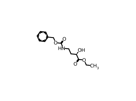 CCOC(=O)[C@H](O)CCNC(=O)OCc1ccccc1